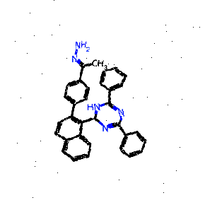 C/C(=N\N)c1ccc(-c2ccc3ccccc3c2C2N=C(c3ccccc3)N=C(c3ccccc3)N2)cc1